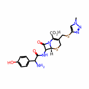 Cn1cc(SCC2=C(C(=O)O)N3C(=O)C(NC(=O)C(N)c4ccc(O)cc4)[C@H]3SC2)nn1